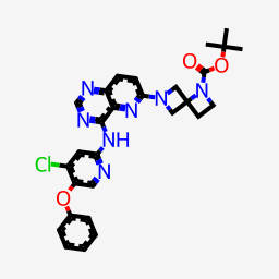 CC(C)(C)OC(=O)N1CCC12CN(c1ccc3ncnc(Nc4cc(Cl)c(Oc5ccccc5)cn4)c3n1)C2